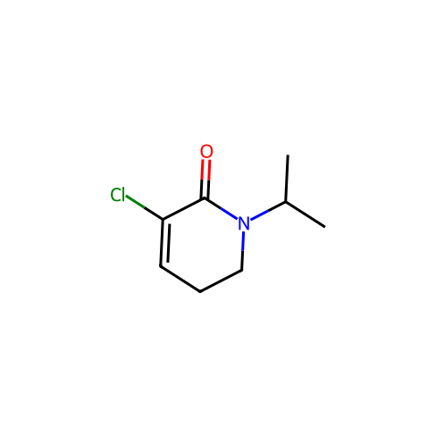 CC(C)N1CCC=C(Cl)C1=O